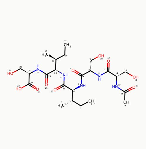 CC[C@H](C)[C@H](NC(=O)[C@H](CO)NC(=O)[C@H](CO)NC(C)=O)C(=O)N[C@H](C(=O)N[C@@H](CO)C(=O)O)[C@@H](C)CC